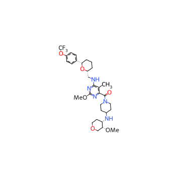 COc1nc(NC[C@H]2CCC[C@@H](c3ccc(OC(F)(F)F)cc3)O2)c(C)c(C(=O)N2CCC(N[C@H]3CCOC[C@H]3OC)CC2)n1